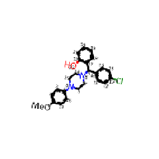 COc1ccc(N2CCN(C(c3ccc(Cl)cc3)c3ccccc3O)CC2)cc1